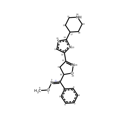 CO/N=C(\c1ccccc1)C1CC(c2csc(C3CCNCC3)n2)=NO1